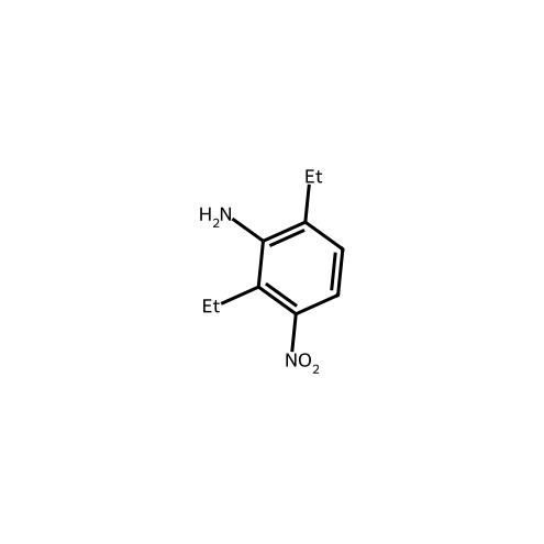 CCc1ccc([N+](=O)[O-])c(CC)c1N